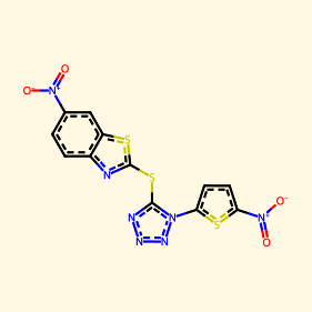 O=[N+]([O-])c1ccc2nc(Sc3nnnn3-c3ccc([N+](=O)[O-])s3)sc2c1